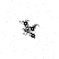 CN(C(=O)NCc1ccc(F)cc1)N1CC(=O)N2[C@@H](Cc3ccc(O)c(N)c3)C(=O)N(Cc3cccc4sc(N)nc34)C[C@@H]21